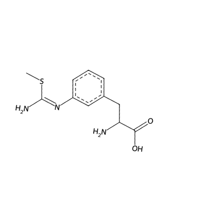 CSC(N)=Nc1cccc(CC(N)C(=O)O)c1